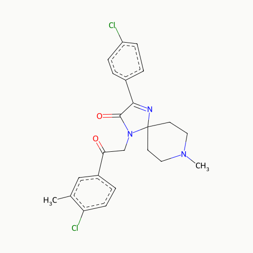 Cc1cc(C(=O)CN2C(=O)C(c3ccc(Cl)cc3)=NC23CCN(C)CC3)ccc1Cl